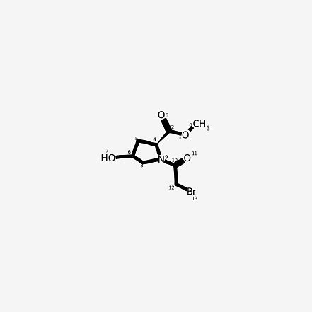 COC(=O)[C@@H]1CC(O)CN1C(=O)CBr